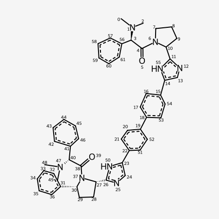 CN(C)[C@@H](C(=O)N1CCCC1c1ncc(-c2ccc(-c3ccc(-c4cnc([C@@H]5CC[C@H](c6ccccc6)N5C(=O)[C@@H](c5ccccc5)N(C)C)[nH]4)cc3)cc2)[nH]1)c1ccccc1